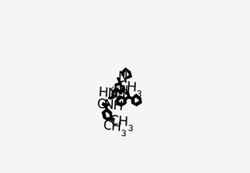 Cc1ccc(C(=O)NCCN[C@@H](CCCN2CCCCC2)C(=O)N(C)CC(c2ccccc2)c2ccccc2)cc1C